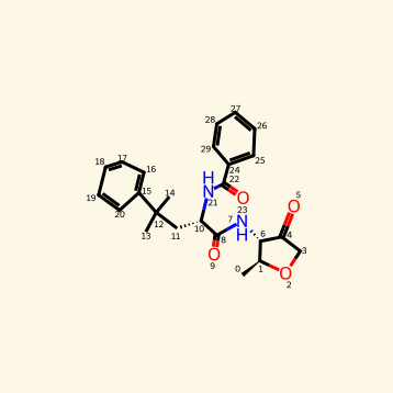 C[C@@H]1OCC(=O)[C@H]1NC(=O)[C@H](CC(C)(C)c1ccccc1)NC(=O)c1ccccc1